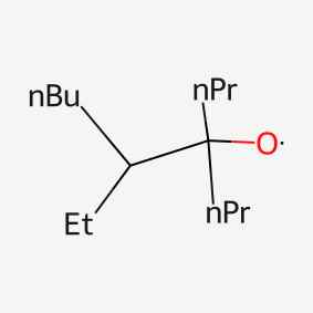 CCCCC(CC)C([O])(CCC)CCC